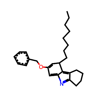 CCCCCCCCC1C=C(OCc2ccccc2)C=C2N=C3CCCCC3=C21